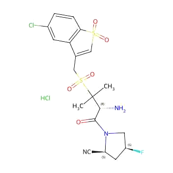 CC(C)([C@H](N)C(=O)N1C[C@@H](F)C[C@H]1C#N)S(=O)(=O)CC1=CS(=O)(=O)c2ccc(Cl)cc21.Cl